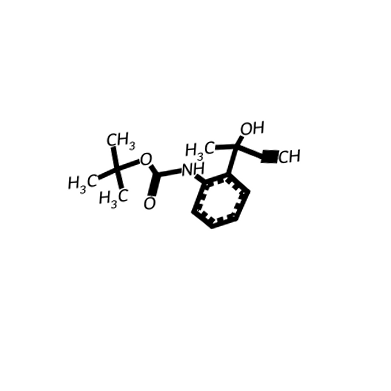 C#CC(C)(O)c1ccccc1NC(=O)OC(C)(C)C